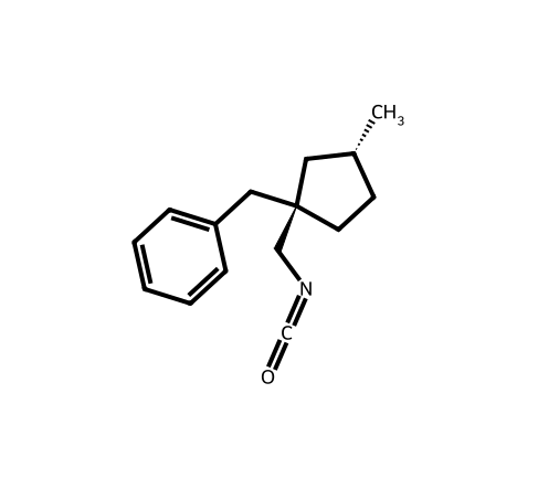 C[C@@H]1CC[C@](CN=C=O)(Cc2ccccc2)C1